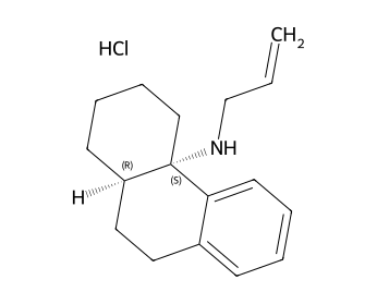 C=CCN[C@@]12CCCC[C@@H]1CCc1ccccc12.Cl